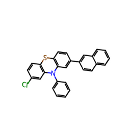 Clc1ccc2c(c1)N(c1ccccc1)c1cc(-c3ccc4ccccc4c3)ccc1S2